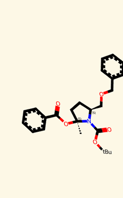 CC(C)(C)OC(=O)N1[C@H](COCc2ccccc2)CC[C@]1(C)OC(=O)c1ccccc1